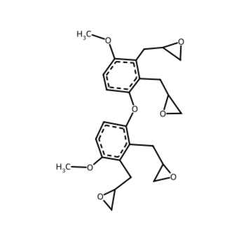 COc1ccc(Oc2ccc(OC)c(CC3CO3)c2CC2CO2)c(CC2CO2)c1CC1CO1